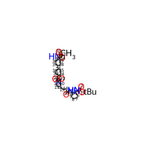 CC(C)(C)OC(=O)Nc1ccccc1NC(=O)C=Cc1ccn(S(=O)(=O)c2ccc(-c3ccc(NS(C)(=O)=O)cc3)cc2)c1